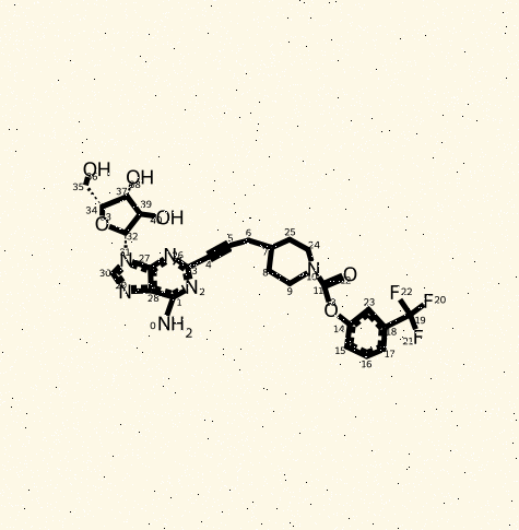 Nc1nc(C#CCC2CCN(C(=O)Oc3cccc(C(F)(F)F)c3)CC2)nc2c1ncn2[C@@H]1O[C@H](CO)[C@H](O)C1O